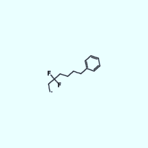 [CH2]CC(F)(F)CCCCc1ccccc1